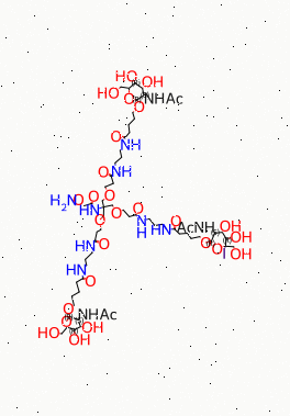 CC(=O)N[C@H]1C(O)[C@@H](O)C(CO)O[C@H]1OCCCCC(=O)NCCCNC(=O)CCOCC(COCCC(=O)NCCCNC(=O)CCCCO[C@@H]1OC(CO)[C@H](O)C(O)[C@@H]1NC(C)=O)(COCCC(=O)NCCCNC(=O)CCCCO[C@@H]1OC(I)(CO)[C@H](O)C(O)[C@@H]1NC(C)=O)NC(=O)CON